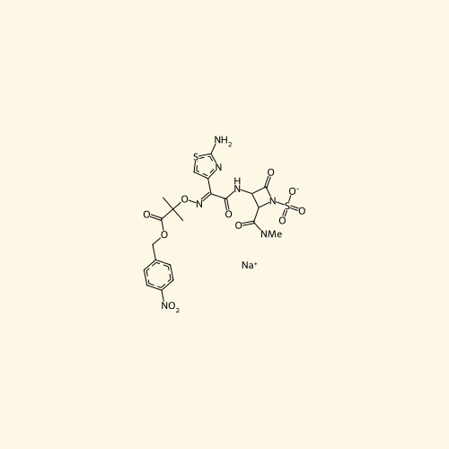 CNC(=O)C1C(NC(=O)C(=NOC(C)(C)C(=O)OCc2ccc([N+](=O)[O-])cc2)c2csc(N)n2)C(=O)N1S(=O)(=O)[O-].[Na+]